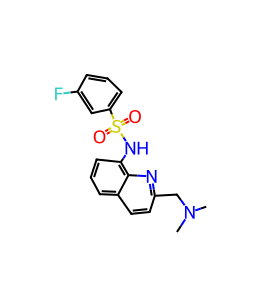 CN(C)Cc1ccc2cccc(NS(=O)(=O)c3cccc(F)c3)c2n1